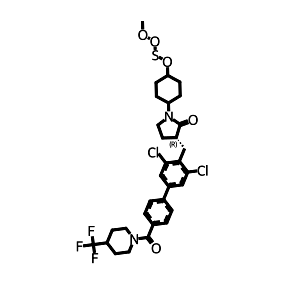 COOSOC1CCC(N2CC[C@@H](Cc3c(Cl)cc(-c4ccc(C(=O)N5CCC(C(F)(F)F)CC5)cc4)cc3Cl)C2=O)CC1